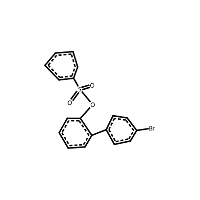 O=S(=O)(Oc1ccccc1-c1ccc(Br)cc1)c1ccccc1